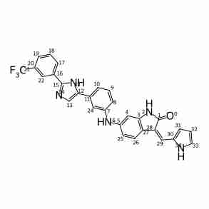 O=C1Nc2cc(Nc3cccc(-c4cnc(-c5cccc(C(F)(F)F)c5)[nH]4)c3)ccc2/C1=C/c1ccc[nH]1